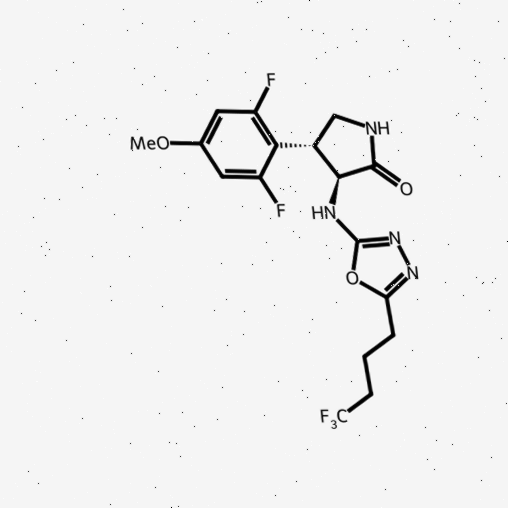 COc1cc(F)c([C@@H]2CNC(=O)[C@H]2Nc2nnc(CCCC(F)(F)F)o2)c(F)c1